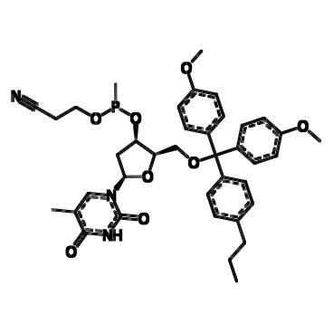 CCCc1ccc(C(OC[C@H]2O[C@@H](n3cc(C)c(=O)[nH]c3=O)C[C@H]2OP(C)OCCC#N)(c2ccc(OC)cc2)c2ccc(OC)cc2)cc1